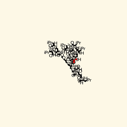 [2H]C(=O)C(CC(C)C)NC(=O)CC(NC(=O)OCOCC(COCC(COCOC(=O)NC(CC(=O)NC(CC(C)C)C([2H])=O)C(=O)NC(CC(C)C)C([2H])=O)OCOC(=O)NC(CC(=O)NC(CC(C)C)C([2H])=O)C(=O)NC(CC(C)C)C([2H])=O)OCOC(=O)NC(CC(=O)NC(CC(C)C)C([2H])=O)C(=O)NC(CC(C)C)C([2H])=O)C(=O)NC(CC(C)C)C([2H])=O